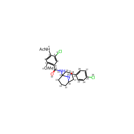 COc1cc(NC(C)=O)c(Cl)cc1C(=O)NC12CCCC(CCC1)N2Cc1ccc(Cl)cc1